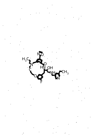 CCCN1CCCCOc2cc(F)cc(c2)CC(C(O)CNCc2cncc(CC)c2)NC(=O)c2cc(cc(-c3ncco3)c2)C1